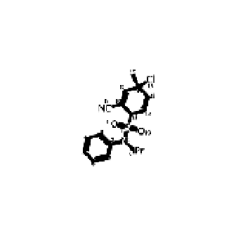 CC(C)N(c1ccccc1)S(=O)(=O)C1C=CC(C)(Cl)C=C1C#N